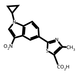 Cc1nc(-c2ccc3c(c2)c([N+](=O)[O-])cn3C2CC2)sc1C(=O)O